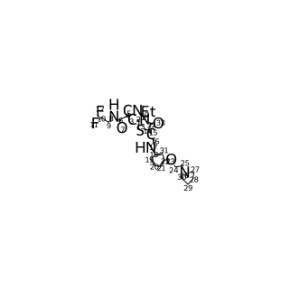 CCn1c(=C=C(C#N)C(=O)NCC(F)F)sc(=C=CNc2cccc(OCCN3CCCC3)c2)c1=O